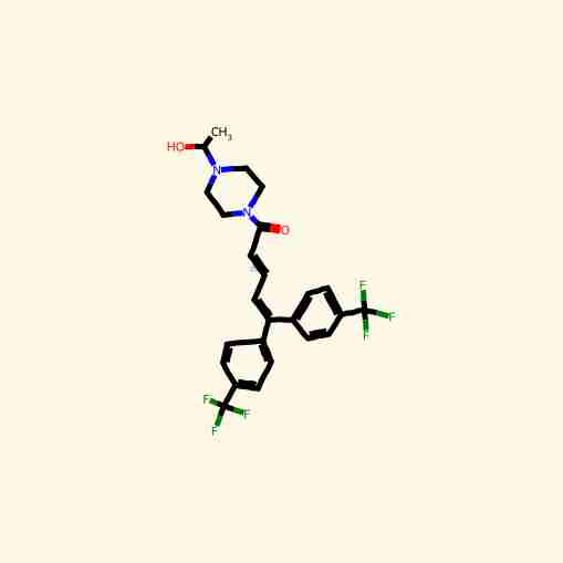 CC(O)N1CCN(C(=O)/C=C/C=C(c2ccc(C(F)(F)F)cc2)c2ccc(C(F)(F)F)cc2)CC1